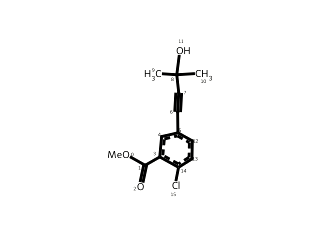 COC(=O)c1cc(C#CC(C)(C)O)ccc1Cl